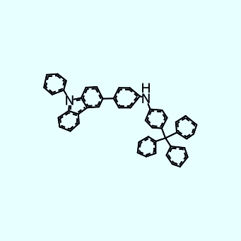 c1ccc(-n2c3ccccc3c3cc(-c4ccc(Nc5ccc(C(c6ccccc6)(c6ccccc6)c6ccccc6)cc5)cc4)ccc32)cc1